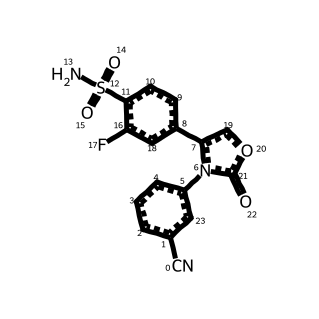 N#Cc1cccc(-n2c(-c3ccc(S(N)(=O)=O)c(F)c3)coc2=O)c1